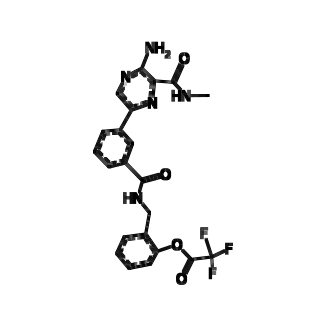 CNC(=O)c1nc(-c2cccc(C(=O)NCc3ccccc3OC(=O)C(F)(F)F)c2)cnc1N